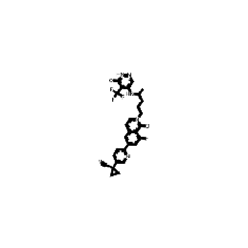 CC(CCCn1ccc2cc(-c3ccc(C4(C#N)CC4)cn3)cc(F)c2c1=O)Nc1cn[nH]c(=O)c1C(F)(F)F